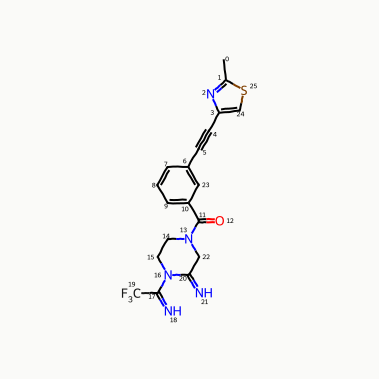 Cc1nc(C#Cc2cccc(C(=O)N3CCN(C(=N)C(F)(F)F)C(=N)C3)c2)cs1